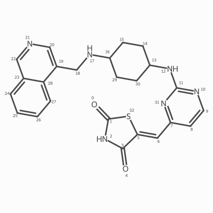 O=C1NC(=O)C(=Cc2ccnc(NC3CCC(NCc4cncc5ccccc45)CC3)n2)S1